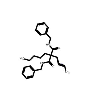 C/C=C/CC(CCCCC)(C(=O)NCc1ccccc1)C(=O)NCc1ccccc1